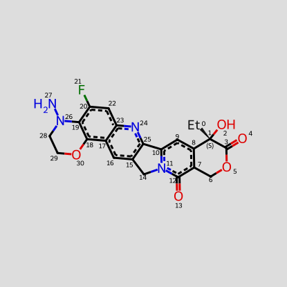 CC[C@@]1(O)C(=O)OCc2c1cc1n(c2=O)Cc2cc3c4c(c(F)cc3nc2-1)N(N)CCO4